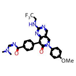 COc1ccc(-n2cc3cnc(NCC(F)(F)F)nc3c(-c3ccc(C(=O)/N=C\N(C)C)cc3)c2=O)cc1